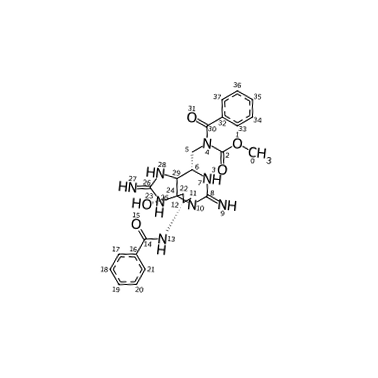 COC(=O)N(C[C@@H]1NC(=N)N2C[C@H](NC(=O)c3ccccc3)[C@@H](O)C23NC(=N)NC13)C(=O)c1ccccc1